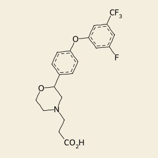 O=C(O)CCN1CCOC(c2ccc(Oc3cc(F)cc(C(F)(F)F)c3)cc2)C1